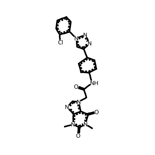 Cn1c(=O)c2c(ncn2CC(=O)Nc2ccc(-c3cn(-c4ccccc4Cl)nn3)cc2)n(C)c1=O